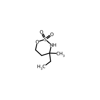 CCC1(C)CCOS(=O)(=O)N1